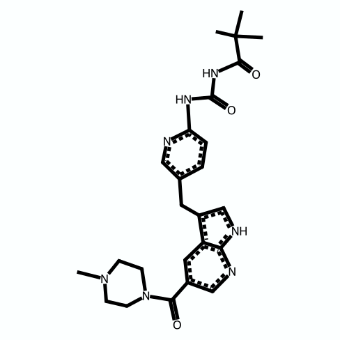 CN1CCN(C(=O)c2cnc3[nH]cc(Cc4ccc(NC(=O)NC(=O)C(C)(C)C)nc4)c3c2)CC1